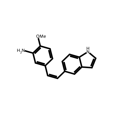 COc1ccc(/C=C\c2ccc3[nH]ccc3c2)cc1N